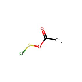 CC(=O)OSCl